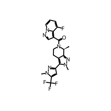 C[C@H]1c2nn(C)c(-c3cc(C(F)(F)F)n(C)n3)c2CCN1C(=O)c1cnn2cccc(F)c12